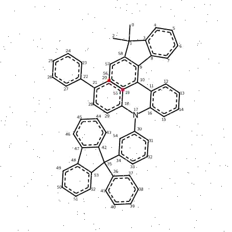 CC1(C)c2ccccc2-c2c(-c3ccccc3N(c3ccc(-c4ccccc4)cc3)c3cccc(C4(c5ccccc5)c5ccccc5-c5ccccc54)c3)cccc21